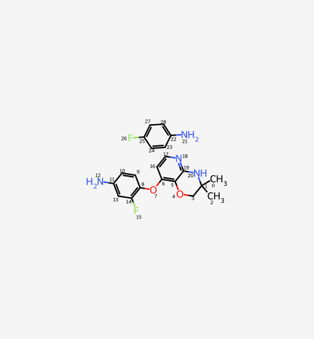 CC1(C)COc2c(Oc3ccc(N)cc3F)ccnc2N1.Nc1ccc(F)cc1